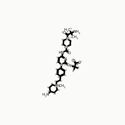 CC(C)(N)C(=O)N1CCN(C(=O)Nc2ccn(-c3ccc(CC[N+]4(C)CCC(N)CC4)cc3)c(=O)n2)CC1.O=C([O-])C(F)(F)F